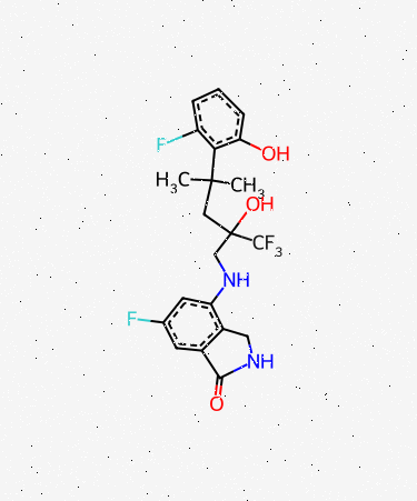 CC(C)(CC(O)(CNc1cc(F)cc2c1CNC2=O)C(F)(F)F)c1c(O)cccc1F